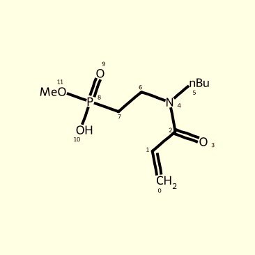 C=CC(=O)N(CCCC)CCP(=O)(O)OC